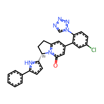 O=c1cc(-c2cc(Cl)ccc2-n2cnnn2)cc2n1[C@H](c1ccc(-c3ccccc3)[nH]1)CC2